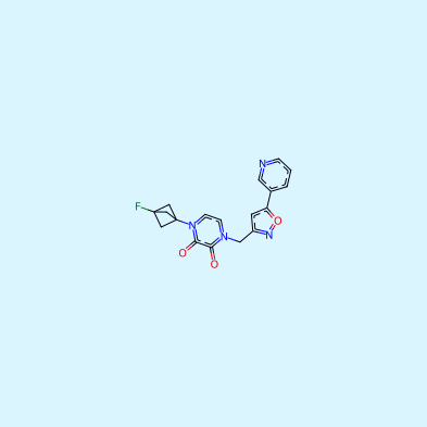 O=c1c(=O)n(C23CC(F)(C2)C3)ccn1Cc1cc(-c2cccnc2)on1